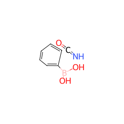 N=C=O.OB(O)c1ccccc1